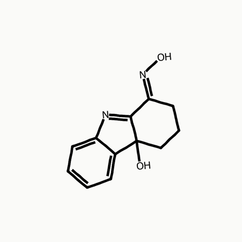 ON=C1CCCC2(O)C1=Nc1ccccc12